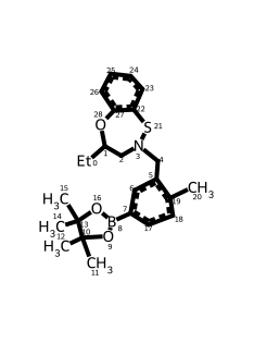 CCC1CN(Cc2cc(B3OC(C)(C)C(C)(C)O3)ccc2C)Sc2ccccc2O1